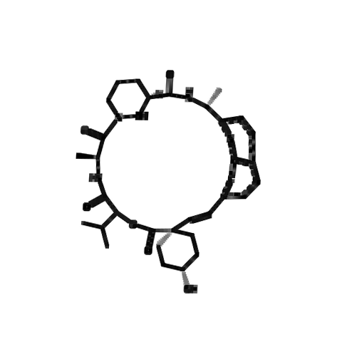 CC(C)C1OC(=O)[C@]2(/C=C/c3ccc4ccc(nc4c3)[C@@H](C)NC(=O)[C@@H]3CCCN(N3)C(=O)[C@H](C)NC1=O)CC[C@@H](O)CC2